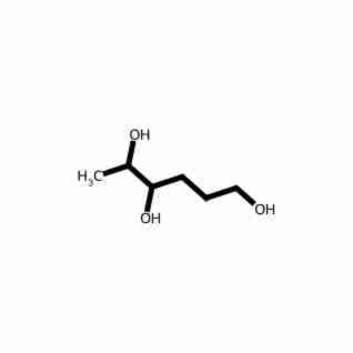 CC(O)C(O)C[CH]CO